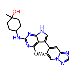 COc1nc(NC2CCC(C)(O)CC2)nc2[nH]cc(-c3ccn4ncnc4c3)c12